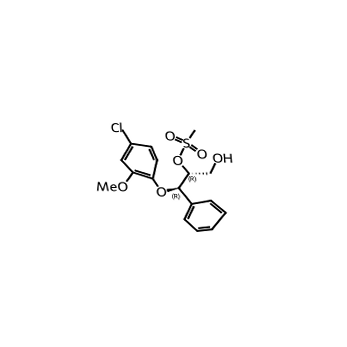 COc1cc(Cl)ccc1O[C@H](c1ccccc1)[C@@H](CO)OS(C)(=O)=O